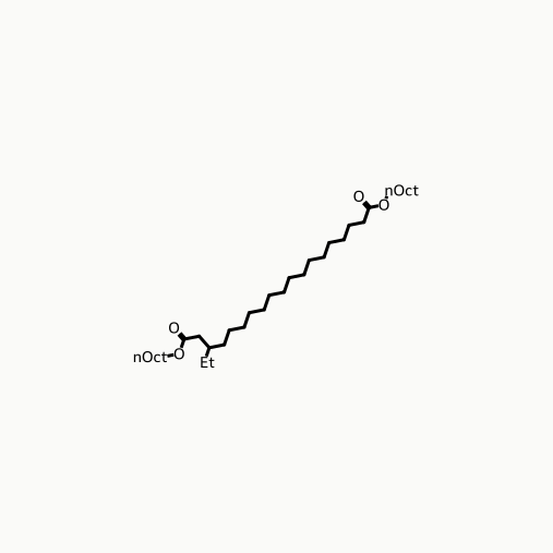 CCCCCCCCOC(=O)CCCCCCCCCCCCCCCC(CC)CC(=O)OCCCCCCCC